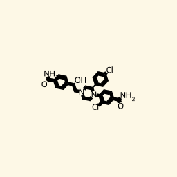 NC(=O)c1ccc([C@H](O)CN2CCN(c3ccc(C(N)=O)cc3Cl)[C@H](c3ccc(Cl)cc3)C2)cc1